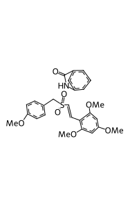 COc1ccc(CS(=O)(=O)C=Cc2c(OC)cc(OC)cc2OC)cc1.O=C1Nc2cccc1c2